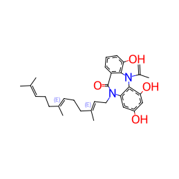 C=C(C)N1c2c(O)cccc2C(=O)N(C/C=C(\C)CC/C=C(\C)CCC=C(C)C)c2cc(O)cc(O)c21